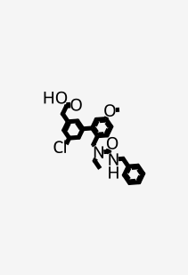 CCN(Cc1ccc(OC)cc1C1=CC(CC(=O)O)=CC(Cl)C1)C(=O)NCc1ccccc1